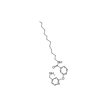 CCCCCCCCCCCCCNC(=O)c1cccc(Oc2cc(CN)ccn2)c1